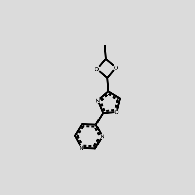 CC1OC(c2coc(-c3ccncn3)n2)O1